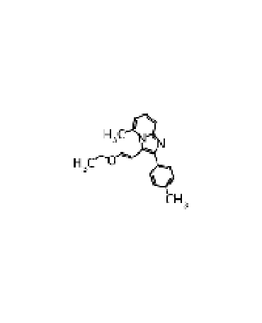 CCOC=Cc1c(-c2ccc(C)cc2)nc2cccc(C)n12